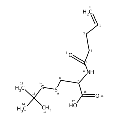 C=CCCC(=O)NC(CSSC(C)(C)C)C(=O)O